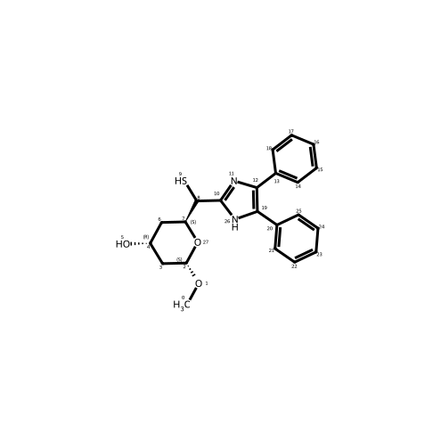 CO[C@@H]1C[C@H](O)C[C@@H](C(S)c2nc(-c3ccccc3)c(-c3ccccc3)[nH]2)O1